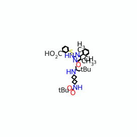 Cc1cccc(C)c1-c1nc(NSc2cccc(C(=O)O)c2)nc(OCC(CC(C)(C)C)NC2CC3(CC(NC(=O)OC(C)(C)C)C3)C2)c1C